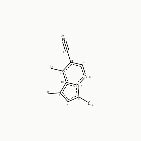 Cc1cc(Cl)n2ncc(C#N)c(C)c12